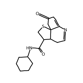 O=C1CC=C2N=CCC3C(C(=O)NC4CCCCC4)CSC23C1